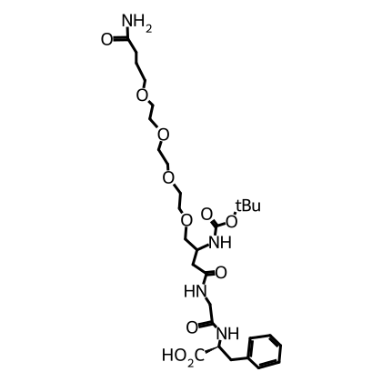 CC(C)(C)OC(=O)NC(COCCOCCOCCOCCCC(N)=O)CC(=O)NCC(=O)N[C@@H](Cc1ccccc1)C(=O)O